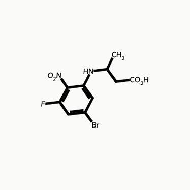 CC(CC(=O)O)Nc1cc(Br)cc(F)c1[N+](=O)[O-]